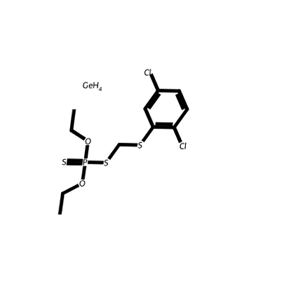 CCOP(=S)(OCC)SCSc1cc(Cl)ccc1Cl.[GeH4]